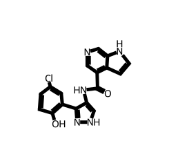 O=C(Nc1c[nH]nc1-c1cc(Cl)ccc1O)c1cncc2[nH]ccc12